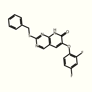 O=c1[nH]c2nc(SCc3ccccc3)ncc2cc1Oc1ccc(F)cc1F